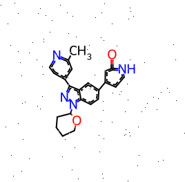 Cc1cc(-c2nn(C3CCCCO3)c3ccc(-c4cc[nH]c(=O)c4)cc23)ccn1